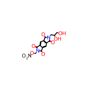 O=c1c2cc3c(=O)n(CC(O)CO)c(=O)c3cc2c(=O)n1CO[N+](=O)[O-]